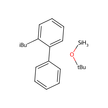 CC(C)(C)O[SiH3].CCC(C)c1ccccc1-c1ccccc1